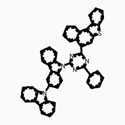 c1ccc(-c2nc(-c3cc4sc5ccccc5c4c4ccccc34)nc(-n3c4ccccc4c4cc(-n5c6ccccc6c6ccccc65)ccc43)n2)cc1